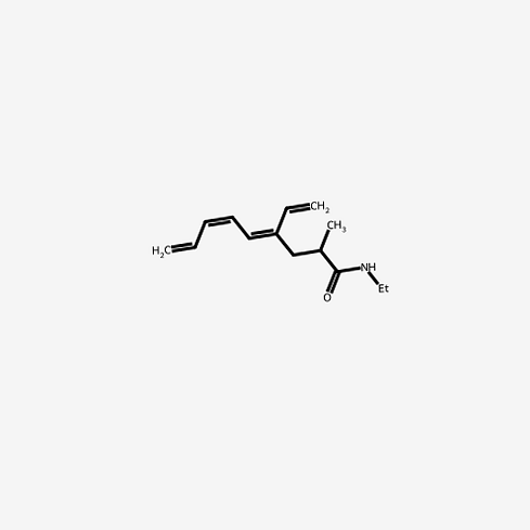 C=C/C=C\C=C(/C=C)CC(C)C(=O)NCC